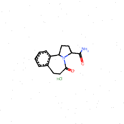 Cl.NC(=O)C1CCC2c3ccccc3CCC(=O)N12